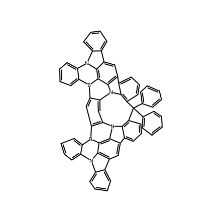 c1ccc(C2(c3ccccc3)c3cccc4c5cc6c7ccccc7n7c6c6c5n(c34)-c3cc4c(cc3B6c3ccccc3-7)B3c5ccccc5-n5c6ccccc6c6cc7c8cccc2c8n-4c7c3c65)cc1